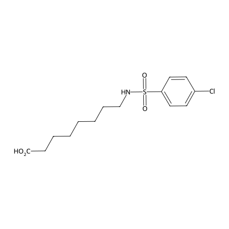 O=C(O)CCCCCCCNS(=O)(=O)c1ccc(Cl)cc1